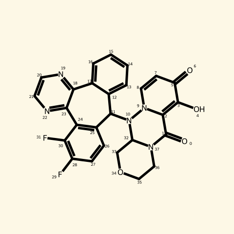 O=C1c2c(O)c(=O)ccn2N(C2c3ccccc3-c3nccnc3-c3c2ccc(F)c3F)C2COCCN12